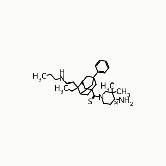 CCCNCCC1(CC)C2CC3(C(=S)N4CC[C@H](N)C(C)(C)C4)CC1CC(c1ccccc1)(C2)C3